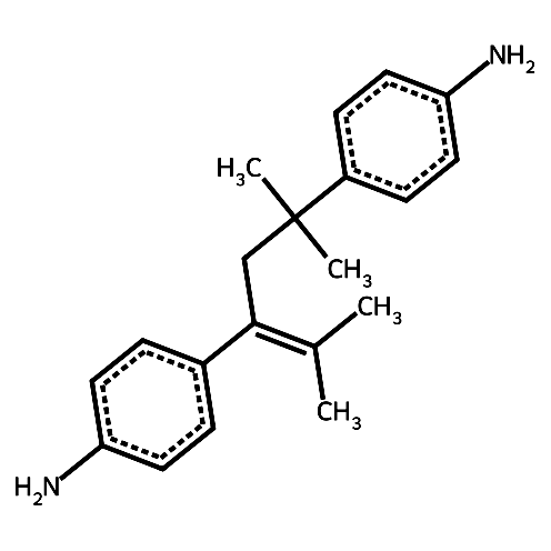 CC(C)=C(CC(C)(C)c1ccc(N)cc1)c1ccc(N)cc1